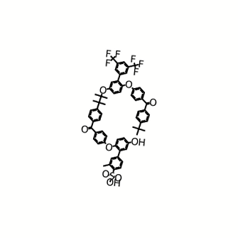 Cc1cc(-c2cc(O)ccc2Oc2ccc(C(=O)c3ccc(C(C)(C)C(C)(C)Oc4ccc(Oc5ccc(C(=O)c6ccc(C(C)(C)C)cc6)cc5)c(-c5cc(C(F)(F)F)cc(C(F)(F)F)c5)c4)cc3)cc2)ccc1S(=O)(=O)O